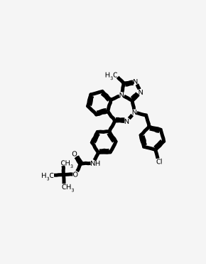 Cc1nnc2n1-c1ccccc1C(c1ccc(NC(=O)OC(C)(C)C)cc1)=NN2Cc1ccc(Cl)cc1